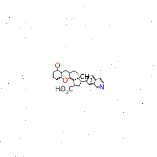 C[C@]12CCC3CC4C(=O)C=CC=C4OC3=C1C(C(=O)O)C[C@@H]2c1ccc2ccncc2c1